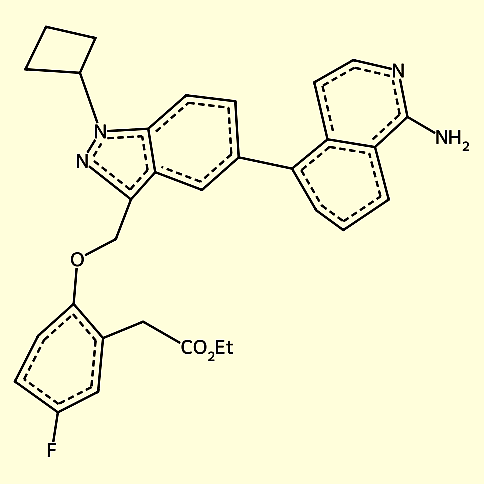 CCOC(=O)Cc1cc(F)ccc1OCc1nn(C2CCC2)c2ccc(-c3cccc4c(N)nccc34)cc12